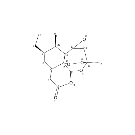 CC[C@@H]1CC2CC(=O)OC3OC4(C)OOC23C(C2OC24)[C@@H]1C